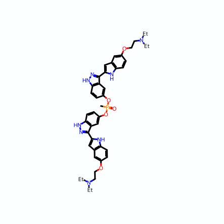 CCN(CC)CCOc1ccc2[nH]c(-c3n[nH]c4ccc(OP(C)(=O)Oc5ccc6[nH]nc(-c7cc8cc(OCCN(CC)CC)ccc8[nH]7)c6c5)cc34)cc2c1